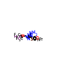 CCCOc1ccc(Sc2nc(N)nc3c2ncn3CCOC(P)(CC(F)(F)F)CC(F)(F)F)cc1